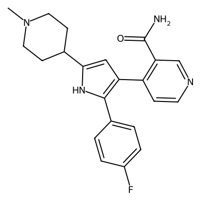 CN1CCC(c2cc(-c3ccncc3C(N)=O)c(-c3ccc(F)cc3)[nH]2)CC1